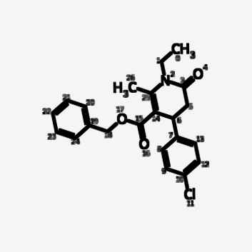 CCN1C(=O)CC(c2ccc(Cl)cc2)C(C(=O)OCc2ccccc2)=C1C